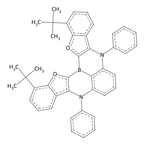 CC(C)(C)c1cccc2c3c(oc12)B1c2oc4c(C(C)(C)C)cccc4c2N(c2ccccc2)c2cccc(c21)N3c1ccccc1